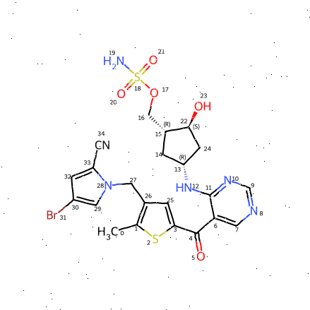 Cc1sc(C(=O)c2cncnc2N[C@@H]2C[C@H](COS(N)(=O)=O)[C@@H](O)C2)cc1Cn1cc(Br)cc1C#N